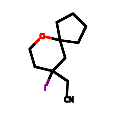 N#CCC1(I)CCOC2(CCCC2)C1